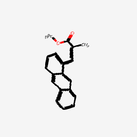 CCCOC(=O)C(C)=Cc1cccc2cc3ccccc3cc12